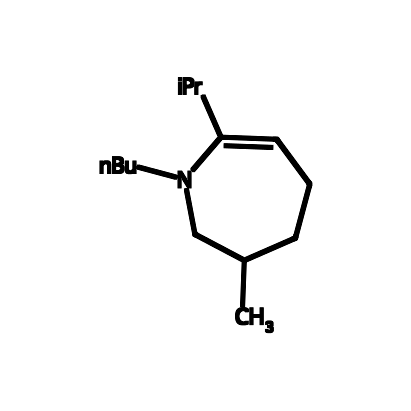 CCCCN1CC(C)CCC=C1C(C)C